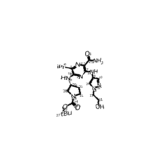 CC(C)c1nc(C(N)=O)c(Nc2cnn(CCO)c2)nc1N[C@@H]1CCN(C(=O)OC(C)(C)C)C1